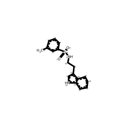 Cc1cccc(S(=O)(=O)NCCc2c[nH]c3ccccc23)c1